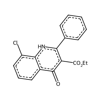 CCOC(=O)c1c(-c2ccccc2)[nH]c2c(Cl)cccc2c1=O